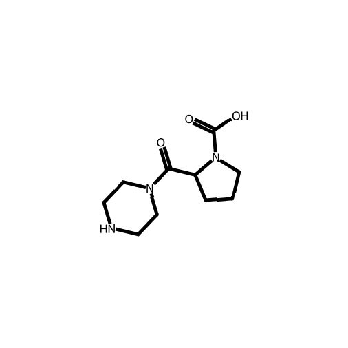 O=C(C1CCCN1C(=O)O)N1CCNCC1